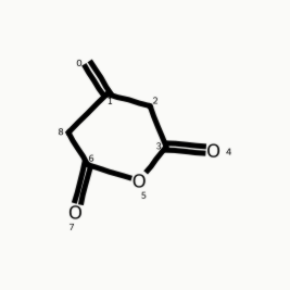 C=C1CC(=O)OC(=O)C1